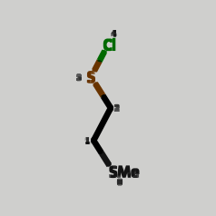 CSCCSCl